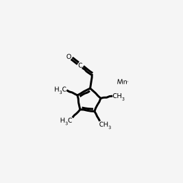 CC1=C(C)C(C)C(C=C=O)=C1C.[Mn]